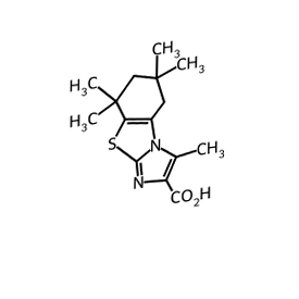 Cc1c(C(=O)O)nc2sc3c(n12)CC(C)(C)CC3(C)C